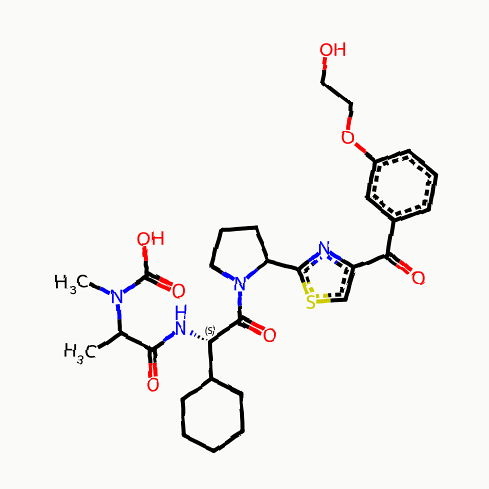 CC(C(=O)N[C@H](C(=O)N1CCCC1c1nc(C(=O)c2cccc(OCCO)c2)cs1)C1CCCCC1)N(C)C(=O)O